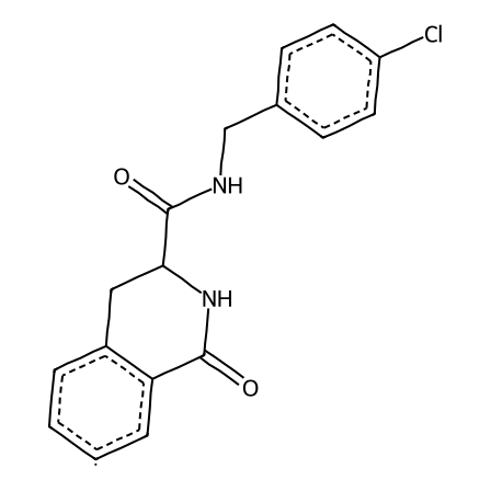 O=C1NC(C(=O)NCc2ccc(Cl)cc2)Cc2cc[c]cc21